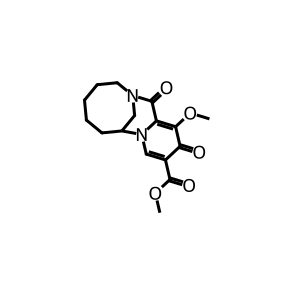 COC(=O)c1cn2c(c(OC)c1=O)C(=O)N1CCCCCC2C1